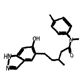 Cc1ccc(N(C)C(=O)CC(C)CCc2cc3cn[nH]c3cc2O)cc1